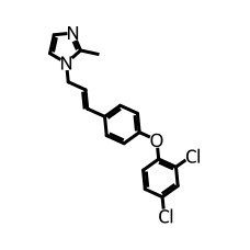 Cc1nccn1CC=Cc1ccc(Oc2ccc(Cl)cc2Cl)cc1